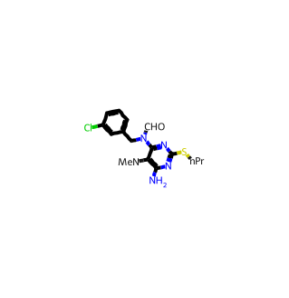 CCCSc1nc(N)c(NC)c(N(C=O)Cc2cccc(Cl)c2)n1